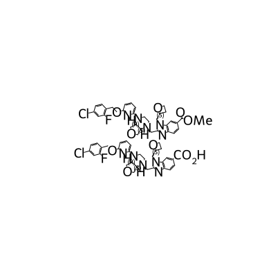 COC(=O)c1ccc2nc(CN3CCN(c4cccc(OCc5ccc(Cl)cc5F)n4)[C@H]4COC[C@H]43)n(C[C@@H]3CCO3)c2c1.O=C(O)c1ccc2nc(CN3CCN(c4cccc(OCc5ccc(Cl)cc5F)n4)[C@H]4COC[C@H]43)n(C[C@@H]3CCO3)c2c1